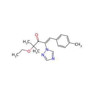 CCOC(C)(C)C(=O)/C(=C/c1ccc(C)cc1)n1cncn1